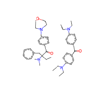 CCC(Cc1ccccc1)(C(=O)c1ccc(N2CCOCC2)cc1)N(C)C.CCN(CC)c1ccc(C(=O)c2ccc(N(CC)CC)cc2)cc1